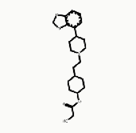 O=C(CO)NC1CCC(CCN2CCC(c3cccc4c3OCO4)CC2)CC1